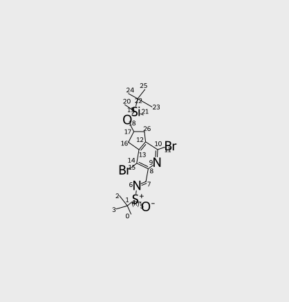 CC(C)(C)[S@+]([O-])N=Cc1nc(Br)c2c(c1Br)CC(O[Si](C)(C)C(C)(C)C)C2